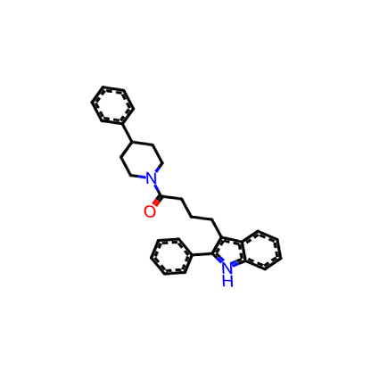 O=C(CCCc1c(-c2ccccc2)[nH]c2ccccc12)N1CCC(c2ccccc2)CC1